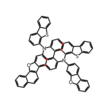 c1ccc(N(c2ccc3c(c2)oc2ccccc23)c2cccc3c2sc2ccccc23)c(-c2ccccc2N(c2ccc3c(c2)oc2c4ccccc4ccc32)c2cccc3c2sc2ccccc23)c1